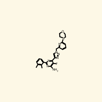 Cc1cccc(-c2nc(N)c(F)c(-c3cn(Cc4cccc(N5CCOCC5)n4)nn3)n2)c1C